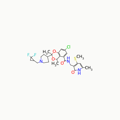 CSc1cc(C)[nH]c(=O)c1CNC(=O)c1cc(Cl)cc2c1C(C)OC(C)(C1CCN(CC3CC3(F)F)CC1)O2